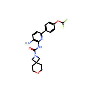 Nc1ccc(-c2ccc(OC(F)F)cc2)nc1NC(=O)N1CC2(CCOCC2)C1